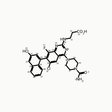 NC(=O)N1CCN(c2nc(NCCC(=O)O)nc3c(F)c(-c4cc(O)cc5ccccc45)c(Cl)cc23)CC1